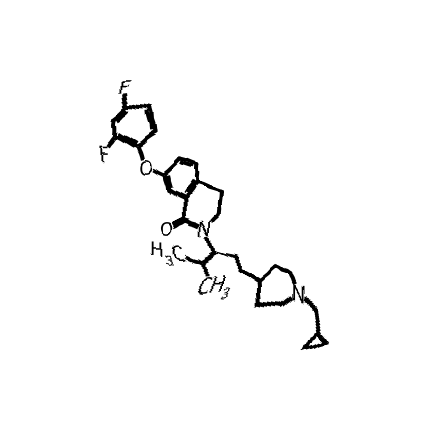 CC(C)[C@H](CCC1CCN(CC2CC2)CC1)N1CCc2ccc(Oc3ccc(F)cc3F)cc2C1=O